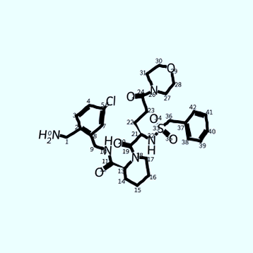 NCc1ccc(Cl)cc1CNC(=O)[C@@H]1CCCCN1C(=O)[C@@H](CCC(=O)N1CCOCC1)NS(=O)(=O)Cc1ccccc1